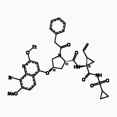 C=CC1C[C@]1(NC(=O)[C@@H]1C[C@@H](Oc2cc(OCC)nc3c(Br)c(OC)ccc23)CN1C(=O)Cc1ccccc1)C(=O)NS(=O)(=O)C1CC1